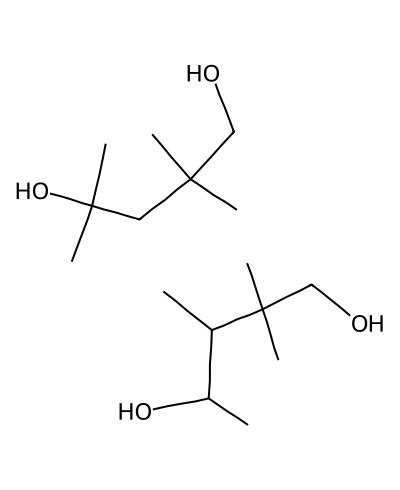 CC(C)(O)CC(C)(C)CO.CC(O)C(C)C(C)(C)CO